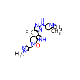 Cn1cc(CN2CCCc3c(-c4nc(NC5CCC(C)(C)NC5)ncc4C(F)(F)F)c[nH]c3C2=O)cn1